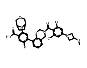 COC1CN(c2cc(Cl)c(C(=O)N3COc4c(cccc4-c4cc(N5C6CCC5COC6)c(C(=O)O)cc4F)C3)c(Cl)c2)C1